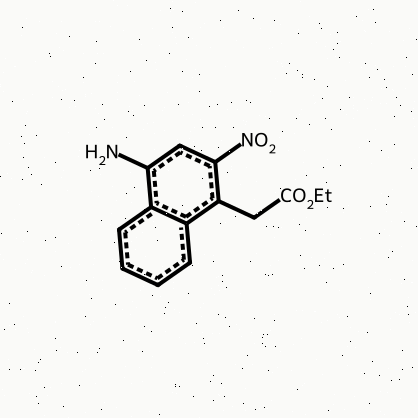 CCOC(=O)Cc1c([N+](=O)[O-])cc(N)c2ccccc12